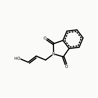 O=C1c2ccccc2C(=O)N1CC=CO